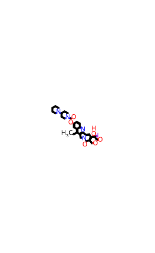 CCc1c2c(nc3ccc(OC(=O)N4CCC(N5CCCCC5)CC4)cc13)-c1cc3c(c(=O)n1C2)COC(=O)[C@]3(O)I